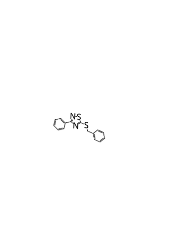 c1ccc(CSc2nc(-c3ccccc3)ns2)cc1